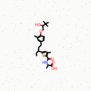 CCC(CCc1ccc(OCC(O)C(C)(C)C)c(C)c1)c1cc(C)c(C(=O)NC(C)C(=O)O)s1